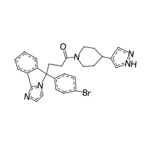 O=C(CCC1(c2ccc(Br)cc2)c2ccccc2-c2nccn21)N1CCC(c2cn[nH]c2)CC1